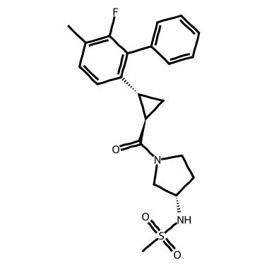 Cc1ccc([C@@H]2C[C@H]2C(=O)N2CC[C@H](NS(C)(=O)=O)C2)c(-c2ccccc2)c1F